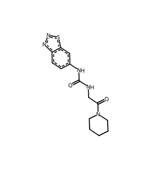 O=C(NCC(=O)N1CCCCC1)Nc1ccc2nnsc2c1